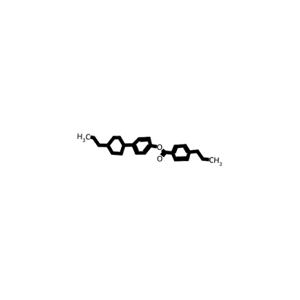 CCCc1ccc(C(=O)Oc2ccc(C3CCC(CCC)CC3)cc2)cc1